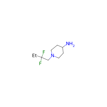 CCC(F)(F)CN1CCC(N)CC1